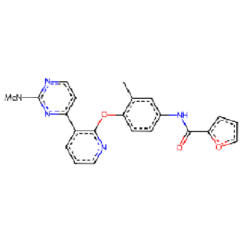 CNc1nccc(-c2cccnc2Oc2ccc(NC(=O)c3ccco3)cc2C)n1